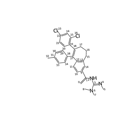 C=C(N/C(=N/C)N(C)C)c1ccc2c(c1)CCCC(c1ccc(Cl)cc1Cl)=C2c1ccc(C)cc1